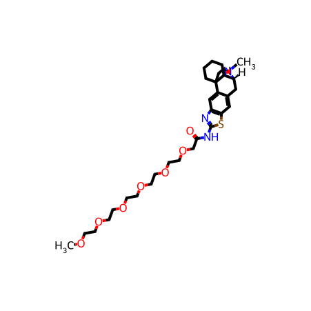 COCCOCCOCCOCCOCCOCC(=O)Nc1nc2cc3c(cc2s1)C[C@@H]1[C@@H]2CCCCC32CCN1C